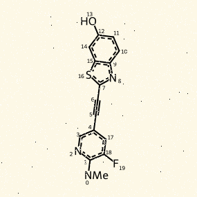 CNc1ncc(C#Cc2nc3ccc(O)cc3s2)cc1F